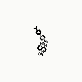 CC(=O)N1CC/C(=N/NC(=S)N2CCN(c3ccc(C(C)C)cc3)CC2)c2ncccc21